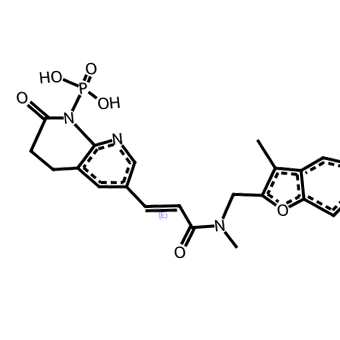 Cc1c(CN(C)C(=O)/C=C/c2cnc3c(c2)CCC(=O)N3P(=O)(O)O)oc2ccccc12